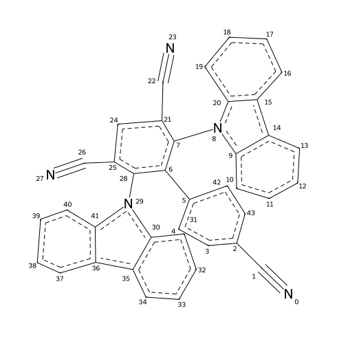 N#Cc1ccc(-c2c(-n3c4ccccc4c4ccccc43)c(C#N)cc(C#N)c2-n2c3ccccc3c3ccccc32)cc1